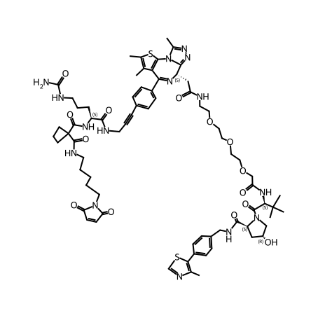 Cc1ncsc1-c1ccc(CNC(=O)[C@@H]2C[C@@H](O)CN2C(=O)[C@@H](NC(=O)COCCOCCOCCNC(=O)C[C@@H]2N=C(c3ccc(C#CCNC(=O)[C@H](CCCNC(N)=O)NC(=O)C4(C(=O)NCCCCCN5C(=O)C=CC5=O)CCC4)cc3)c3c(sc(C)c3C)-n3c(C)nnc32)C(C)(C)C)cc1